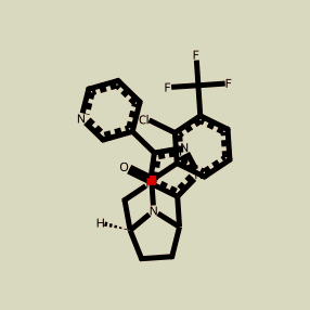 O=C(c1cccc(C(F)(F)F)c1Cl)N1C2CC[C@H]1Cn1c(-c3cccnc3)nnc12